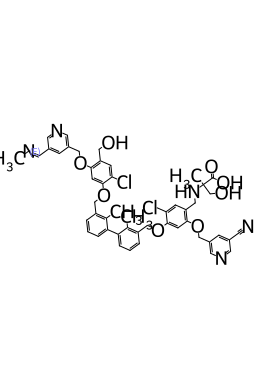 C/N=C/c1cncc(COc2cc(OCc3cccc(-c4cccc(COc5cc(OCc6cncc(C#N)c6)c(CNC(C)(CO)C(=O)O)cc5Cl)c4C)c3C)c(Cl)cc2CO)c1